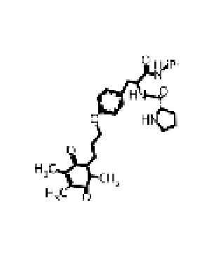 CC1=C(C)C(=O)C(CCCOc2ccc(CC(NC(=O)[C@@H]3CCCN3)C(=O)NC(C)C)cc2)C(C)C1=O